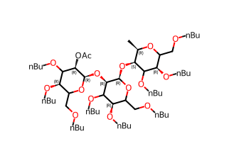 CCCCOCC1O[C@H](O[C@@H]2C(OCCCC)[C@H](OCCCC)C(COCCCC)O[C@@H]2O[C@@H]2C(OCCCC)[C@H](OCCCC)C(COCCCC)O[C@@H]2C)[C@H](OC(C)=O)C(OCCCC)[C@@H]1OCCCC